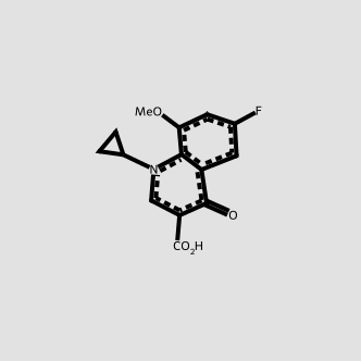 COc1[c]c(F)cc2c(=O)c(C(=O)O)cn(C3CC3)c12